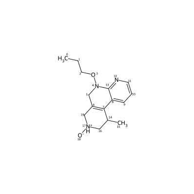 CCCON1CC2=C(c3cccnc31)C(C)C[NH+]([O-])C2